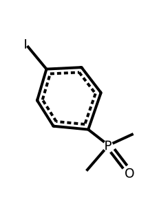 CP(C)(=O)c1ccc(I)cc1